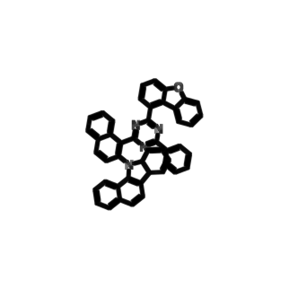 C1=CC2c3ccc4ccccc4c3N(c3ccc4ccccc4c3-c3nc(-c4ccccc4)nc(-c4cccc5oc6ccccc6c45)n3)C2C=C1